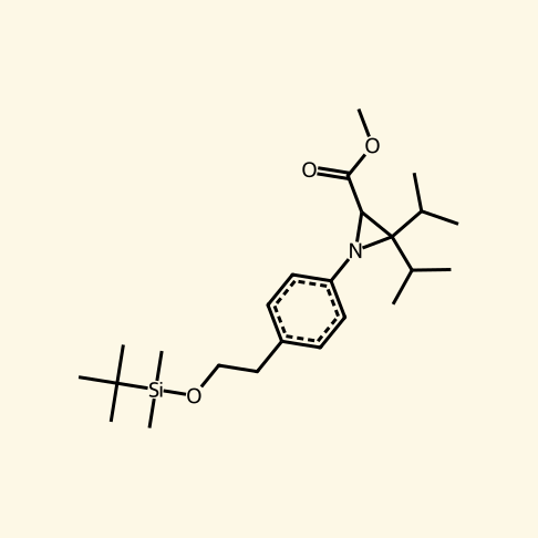 COC(=O)C1N(c2ccc(CCO[Si](C)(C)C(C)(C)C)cc2)C1(C(C)C)C(C)C